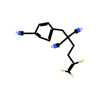 N#Cc1ccc(CC(C#N)(C#N)CCC(F)=C(F)F)cc1